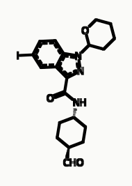 O=C[C@H]1CC[C@H](NC(=O)c2nn(C3CCCCO3)c3ccc(I)cc23)CC1